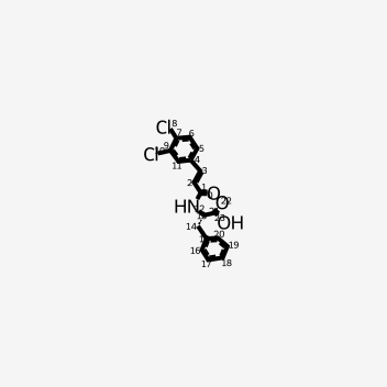 O=C(/C=C/c1ccc(Cl)c(Cl)c1)N[C@@H](Cc1ccccc1)C(=O)O